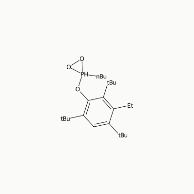 CCCC[PH]1(Oc2c(C(C)(C)C)cc(C(C)(C)C)c(CC)c2C(C)(C)C)OO1